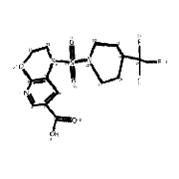 O=C(O)c1cnc2c(c1)N(S(=O)(=O)N1CCC(C(F)(F)F)CC1)CCO2